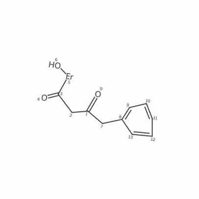 O=C(C[C](=O)[Er][OH])Cc1ccccc1